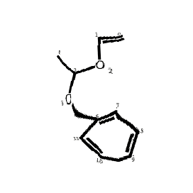 C=COC(C)Oc1cc[c]cc1